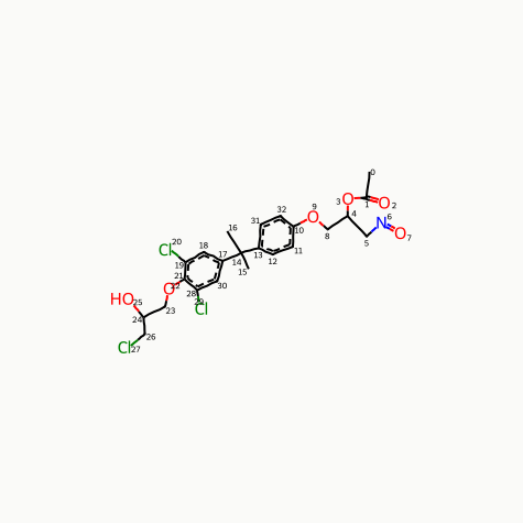 CC(=O)OC(CN=O)COc1ccc(C(C)(C)c2cc(Cl)c(OCC(O)CCl)c(Cl)c2)cc1